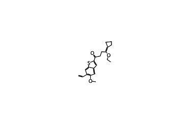 C=Cc1cc2sc(C(=O)CCC(OCC)=C3CCC3)cc2cc1OC